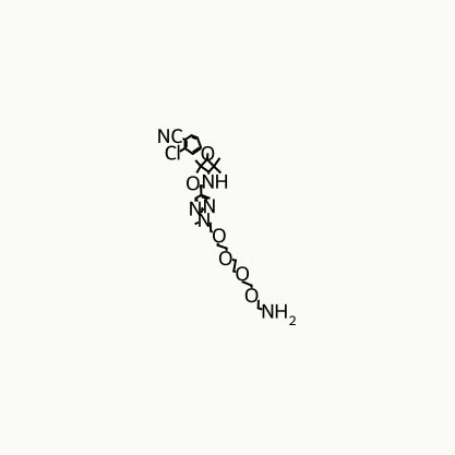 CN(CCOCCOCCOCCOCCN)c1ncc(C(=O)NC2C(C)(C)C(Oc3ccc(C#N)c(Cl)c3)C2(C)C)cn1